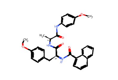 COc1ccc(C[C@H](NC(=O)c2cccc3ccccc23)C(=O)N[C@@H](C)C(=O)Nc2ccc(OC)cc2)cc1